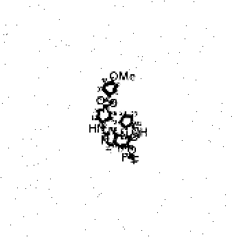 COc1ccc(S(=O)(=O)N2CCC(Nc3ncc4cc(OC(F)F)c(=O)n([C@@H]5CCC[C@@]5(C)O)c4n3)CC2)cc1